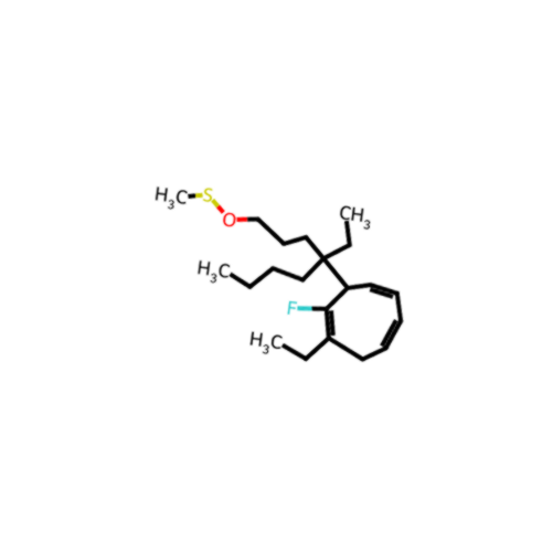 CCCCC(CC)(CCCOSC)C1C=C/C=C\C/C(CC)=C\1F